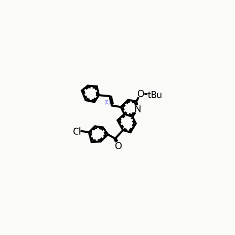 CC(C)(C)Oc1cc(/C=C/c2ccccc2)c2cc(C(=O)c3ccc(Cl)cc3)ccc2n1